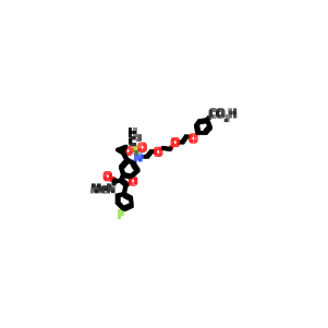 CNC(=O)c1c(-c2ccc(F)cc2)oc2cc(N(CCOCCOCCOc3ccc(C(=O)O)cc3)S(C)(=O)=O)c(C3CC3)cc12